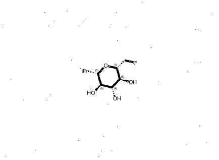 CC(C)[C@@H]1O[C@H](CF)[C@@H](O)[C@H](O)[C@H]1O